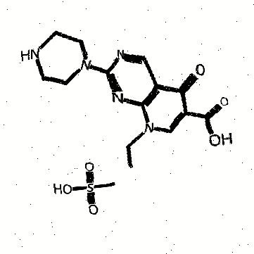 CCn1cc(C(=O)O)c(=O)c2cnc(N3CCNCC3)nc21.CS(=O)(=O)O